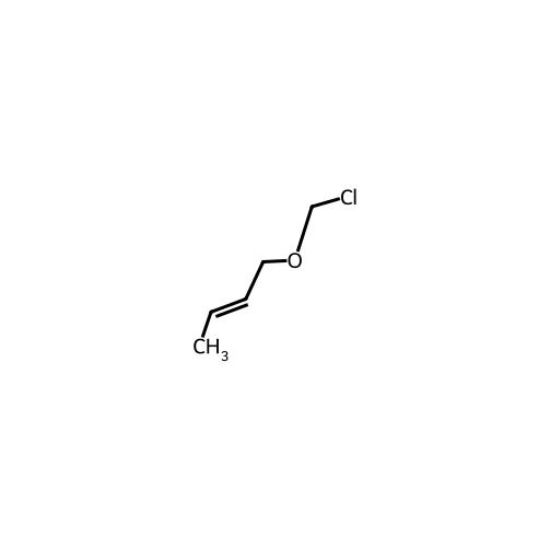 C/C=C/COCCl